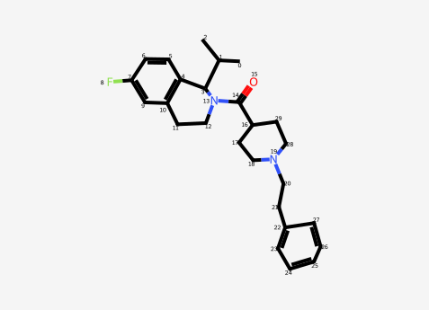 CC(C)C1c2ccc(F)cc2CCN1C(=O)C1CCN(CCc2ccccc2)CC1